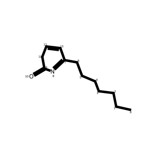 CCCCCCCC1=NC(=O)CC=C1